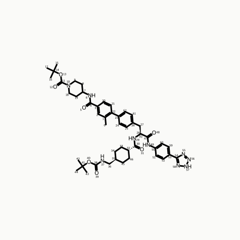 Cc1cc(C(=O)NC2CCN(C(=O)OC(C)(C)C)CC2)ccc1-c1ccc(C[C@H](NC(=O)[C@H]2CC[C@H](CNC(=O)OC(C)(C)C)CC2)C(=O)Nc2ccc(-c3nn[nH]n3)cc2)cc1